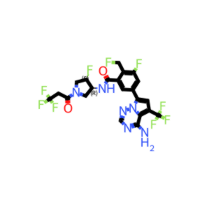 Nc1ncnn2c(-c3cc(F)c(CF)c(C(=O)N[C@@H]4CN(C(=O)CC(F)(F)F)C[C@@H]4F)c3)cc(C(F)(F)F)c12